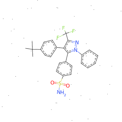 CC(C)(C)c1ccc(-c2c(C(F)(F)F)nn(-c3ccccc3)c2-c2ccc(S(N)(=O)=O)cc2)cc1